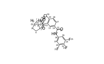 O=C1CC2CC[C@@H](C1)[C@H]2S(=O)(=O)c1cc(C(=O)Nc2cc(F)c(F)c(F)c2)ccc1Cl